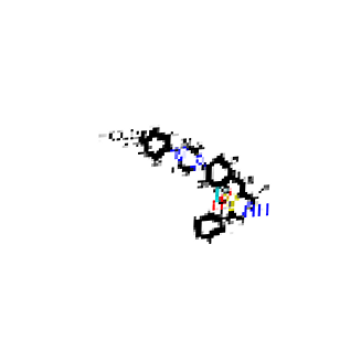 C[C@@H]1NC[C@H](c2ccccc2)S(=O)(=O)C1Cc1ccc(N2CCN(c3ccc(C(=O)O)cc3)CC2)cc1F